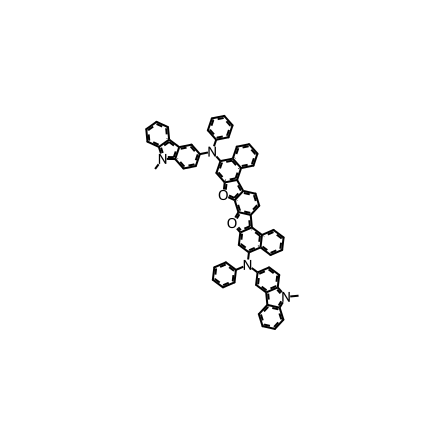 Cn1c2ccccc2c2cc(N(c3ccccc3)c3cc4oc5c(ccc6c5oc5cc(N(c7ccccc7)c7ccc8c(c7)c7ccccc7n8C)c7ccccc7c56)c4c4ccccc34)ccc21